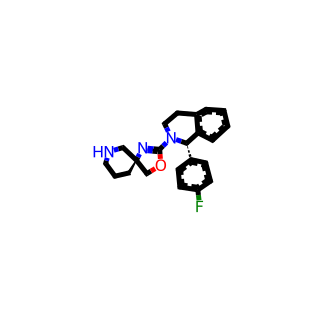 Fc1ccc([C@H]2c3ccccc3CCN2C2=N[C@]3(CCCNC3)CO2)cc1